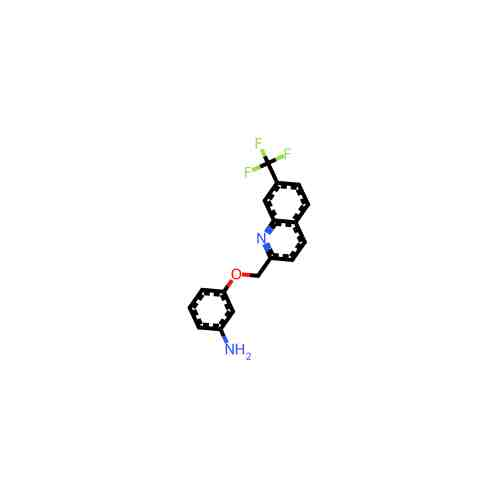 Nc1cccc(OCc2ccc3ccc(C(F)(F)F)cc3n2)c1